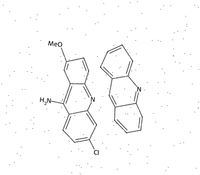 COc1ccc2nc3cc(Cl)ccc3c(N)c2c1.c1ccc2nc3ccccc3cc2c1